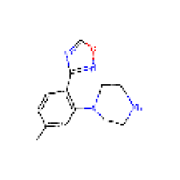 Cc1ccc(-c2ncon2)c(N2CCNCC2)c1